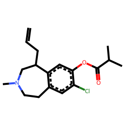 C=CCC1CN(C)CCc2cc(Cl)c(OC(=O)C(C)C)cc21